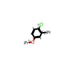 CC(C)Oc1ccc(Cl)c(C(C)C)c1